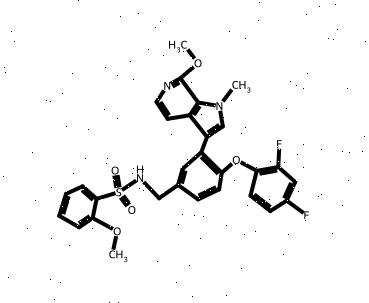 COc1ccccc1S(=O)(=O)NCc1ccc(Oc2ccc(F)cc2F)c(-c2cn(C)c3c(OC)nccc23)c1